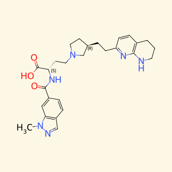 Cn1ncc2ccc(C(=O)N[C@@H](CCN3CC[C@@H](CCc4ccc5c(n4)NCCC5)C3)C(=O)O)cc21